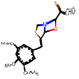 COc1cc(C=C2SCN3C(C(=S)[C]=O)OC23)cc(OC)c1OC